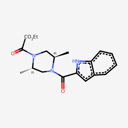 CCOC(=O)C(=O)N1C[C@@H](C)N(C(=O)c2cc3ccccc3[nH]2)C[C@@H]1C